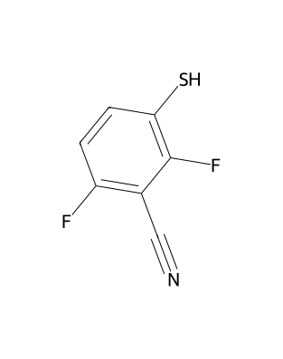 N#Cc1c(F)ccc(S)c1F